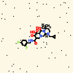 CC1(C)CCN(CC2CC2)[C@@H]2CN3C=C(C(=O)NCc4ccc(F)cc4F)C(=O)C(O)(O)C3C(=O)N21